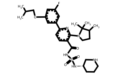 CC(C)COc1cc(F)cc(-c2ccc(C(=O)NS(=O)(=O)N[C@H]3CCCNC3)c(N3CCC(C)C3(C)C)n2)c1